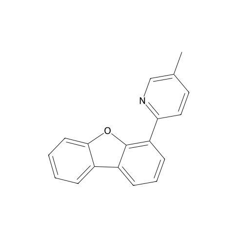 Cc1ccc(-c2cccc3c2oc2ccccc23)nc1